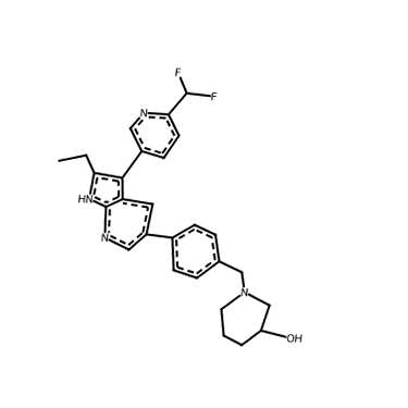 CCc1[nH]c2ncc(-c3ccc(CN4CCCC(O)C4)cc3)cc2c1-c1ccc(C(F)F)nc1